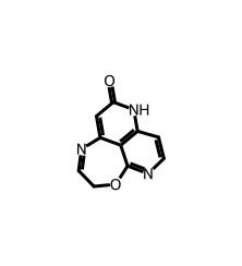 O=c1cc2c3c(nccc3[nH]1)OCC=N2